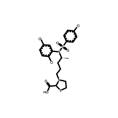 C[C@H](CCCN1CCSC1C(=O)O)N(c1cc(Cl)ccc1Cl)S(=O)(=O)c1ccc(Cl)cc1